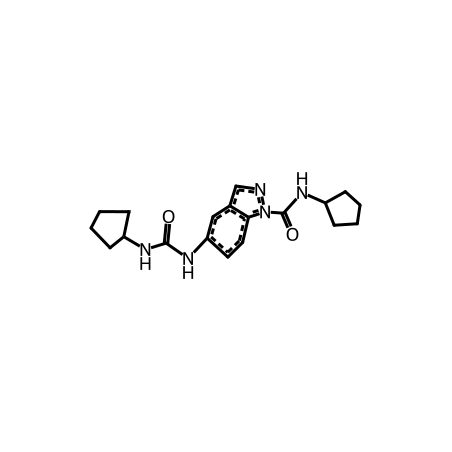 O=C(Nc1ccc2c(cnn2C(=O)NC2CCCC2)c1)NC1CCCC1